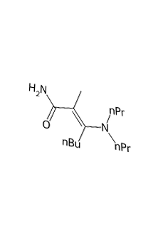 CCCC/C(=C(/C)C(N)=O)N(CCC)CCC